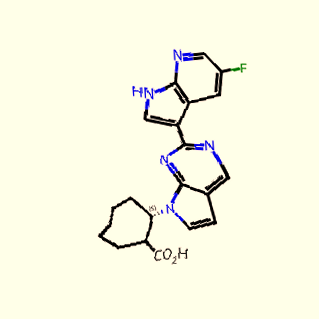 O=C(O)C1CCCC[C@@H]1n1ccc2cnc(-c3c[nH]c4ncc(F)cc34)nc21